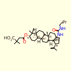 C=C(C)[C@@H]1CC[C@]2(NC(=O)NCC(C)C)CC[C@]3(C)[C@H](CC[C@@H]4[C@@]5(C)CC[C@H](OC(=O)CC(C)(C)C(=O)O)C(C)(C)[C@@H]5CC[C@]43C)[C@@H]12